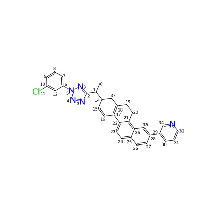 CC(c1nnn(-c2cccc(Cl)c2)n1)C1C=CC2=C(CCc3c2ccc2ccc(-c4cccnc4)cc32)C1